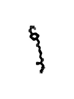 COc1ccc(COC/C=C/COC(=O)C=[N+]=[N-])cc1